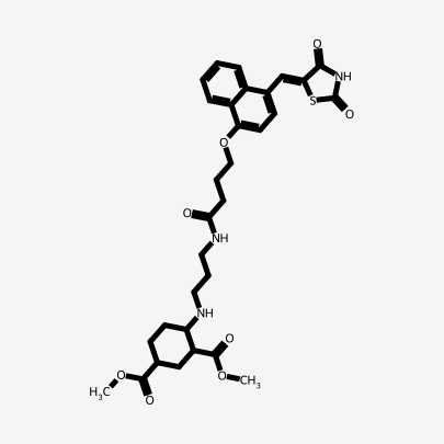 COC(=O)C1CCC(NCCCNC(=O)CCCOc2ccc(/C=C3\SC(=O)NC3=O)c3ccccc23)C(C(=O)OC)C1